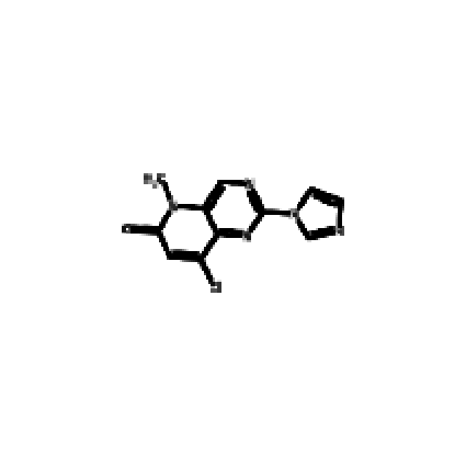 Cn1c(=O)cc(Cl)c2nc(-n3ccnc3)ncc21